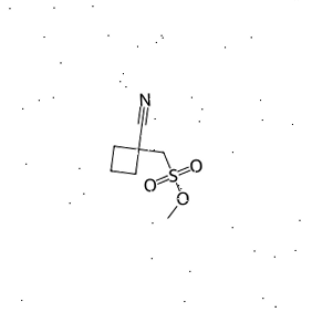 COS(=O)(=O)CC1(C#N)CCC1